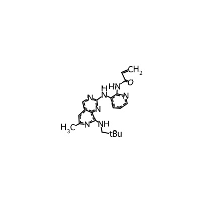 C=CC(=O)Nc1ncccc1Nc1ncc2cc(C)nc(NCC(C)(C)C)c2n1